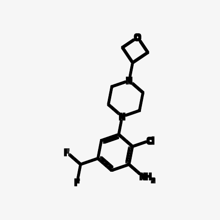 Nc1cc(C(F)F)cc(N2CCN(C3COC3)CC2)c1Cl